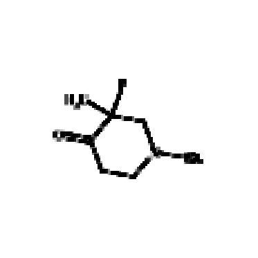 CC1(F)CN(C(C)(C)C)CCC1=O